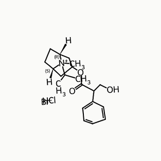 CC(C)[N+]1(C)[C@@H]2CC[C@H]1CC(OC(=O)C(CO)c1ccccc1)C2.Cl.[Br-]